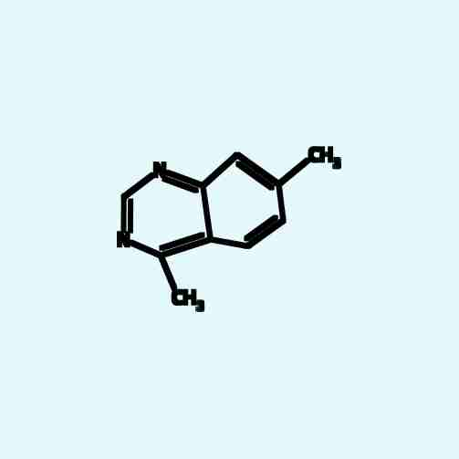 Cc1ccc2c(C)ncnc2c1